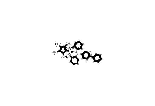 CC1=C(C)C(C)[C]([Ti]([CH3])([NH]C2CCCCC2)[SiH2]c2ccccc2)=C1C.c1ccc(-c2ccccc2)cc1